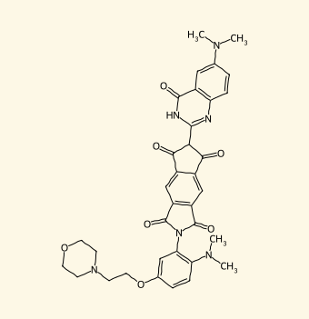 CN(C)c1ccc2nc(C3C(=O)c4cc5c(cc4C3=O)C(=O)N(c3cc(OCCN4CCOCC4)ccc3N(C)C)C5=O)[nH]c(=O)c2c1